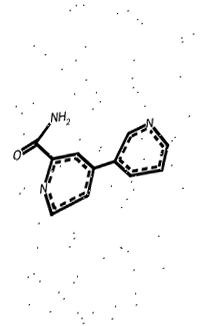 NC(=O)c1cc(-c2cccnc2)ccn1